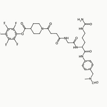 CN(C=O)Cc1ccc(NC(=O)C(CCCNC(N)=O)NC(=O)CNC(=O)CCC(=O)N2CCC(C(=O)Oc3c(F)c(F)c(F)c(F)c3F)CC2)cc1